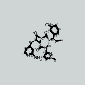 CC[C@@H](NC(=O)N1C(=O)[C@H](Cc2ccnc(N)c2)[C@H]1C(=O)N(C)c1ccn(C)n1)c1cccc(Cl)c1